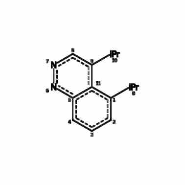 CC(C)c1cccc2nncc(C(C)C)c12